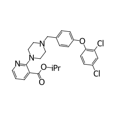 CC(C)OC(=O)c1cccnc1N1CCN(Cc2ccc(Oc3ccc(Cl)cc3Cl)cc2)CC1